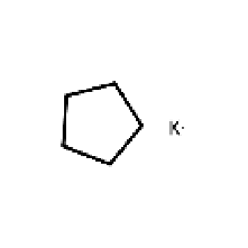 C1CCCC1.[K]